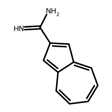 N=C(N)c1cc2cccccc-2c1